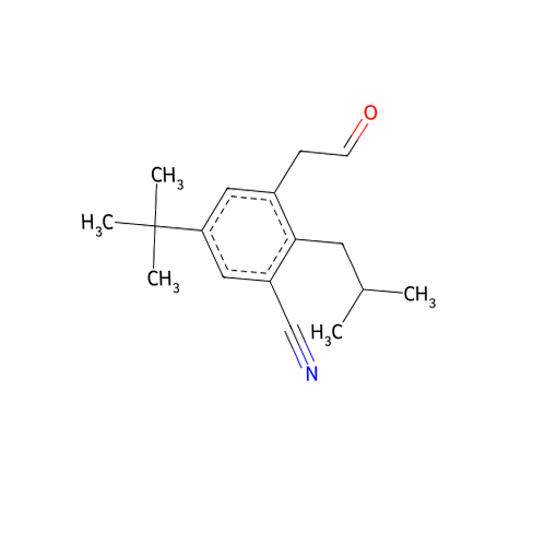 CC(C)Cc1c(C#N)cc(C(C)(C)C)cc1CC=O